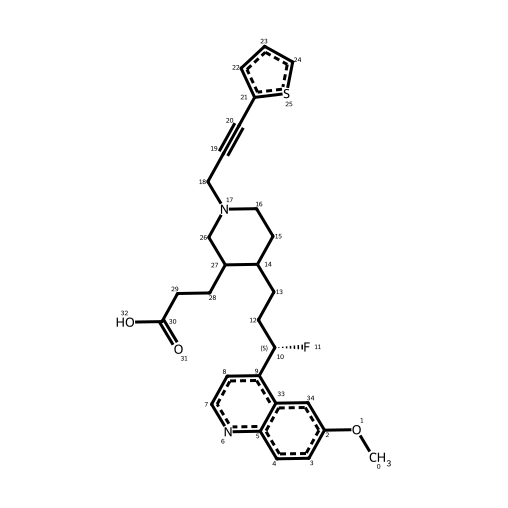 COc1ccc2nccc([C@@H](F)CCC3CCN(CC#Cc4cccs4)CC3CCC(=O)O)c2c1